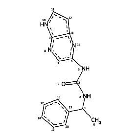 CC(NC(=O)Nc1cnc2[nH]ccc2n1)c1ccccc1